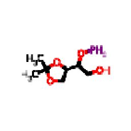 CC1(C)OC[C@H](C(CO)OP)O1